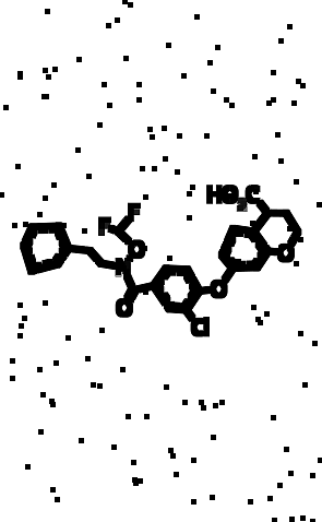 O=C(O)C1CCOc2cc(Oc3ccc(C(=O)N(CCc4ccccc4)OC(F)F)cc3Cl)ccc21